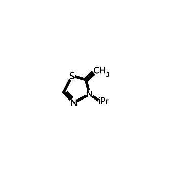 C=C1SC=NN1C(C)C